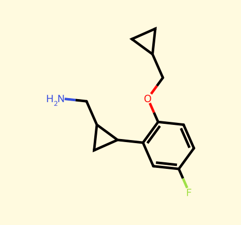 NCC1CC1c1cc(F)ccc1OCC1CC1